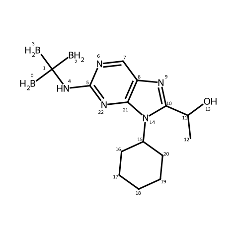 BC(B)(B)Nc1ncc2nc(C(C)O)n(C3CCCCC3)c2n1